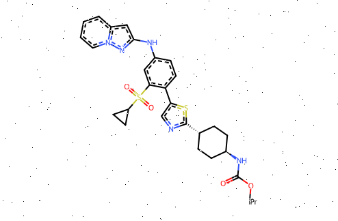 CC(C)OC(=O)N[C@H]1CC[C@H](c2ncc(-c3ccc(Nc4cc5ccccn5n4)cc3S(=O)(=O)C3CC3)s2)CC1